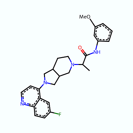 COc1cccc(NC(=O)C(C)N2CCC3CN(c4ccnc5ccc(F)cc45)CC3C2)c1